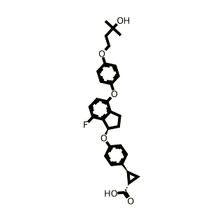 CC(C)(O)CCOc1ccc(Oc2ccc(F)c3c2CC[C@H]3Oc2ccc([C@H]3C[C@@H]3C(=O)O)cc2)cc1